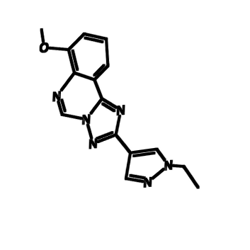 CCn1cc(-c2nc3c4cccc(OC)c4ncn3n2)cn1